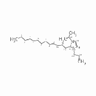 CCCCCCCCCCCCCC1N(CCC)C=CN1C(C)C